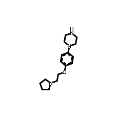 c1cc(N2CCNCC2)ccc1OCCN1CCCC1